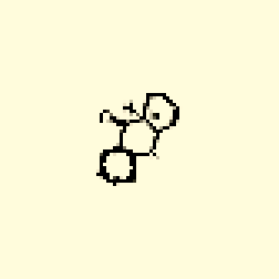 O=C1c2ccccc2SC2C=CCC[C@H]12